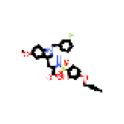 CC#CCOc1ccc(S(=O)(=O)NC(Cc2cn(Cc3cccc(F)c3)c3ccc(OC)cc23)C(=O)O)cc1